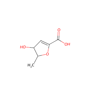 CC1OC(C(=O)O)=CC1O